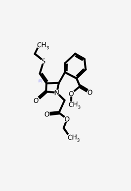 CCOC(=O)CN1C(=O)/C(=C/SCC)C1c1ccccc1C(=O)OC